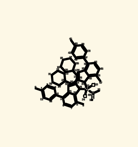 Cc1ccc(-c2ccc(C)c3c2C=C(CC2CCCCC2)[CH]3[Zr]([Cl])([Cl])([CH]2C(CC3CCCCC3)=Cc3c(-c4ccc(C)cc4)ccc(C)c32)[SiH](C)C)cc1